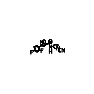 N#CN1CC[C@@H](NC(=O)c2cc(-c3ccc(F)cc3F)no2)C1